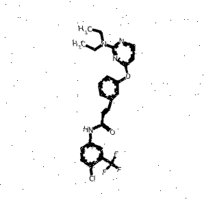 CCN(CC)c1nccc(Oc2cccc(C=CC(=O)Nc3ccc(Cl)c(C(F)(F)F)c3)c2)n1